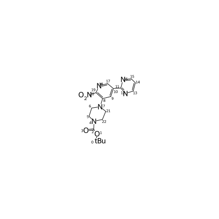 CC(C)(C)OC(=O)N1CCN(c2cc(-c3ncccn3)cnc2[N+](=O)[O-])CC1